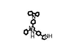 C1=CC(c2ccc(C3=CC(c4ccc(-n5c6ccccc6c6ccccc65)cc4)=NC(c4ccccc4)N3)cc2)=CNC1